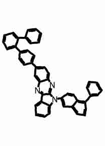 c1ccc(-c2ccccc2-c2ccc(-c3ccc4nc5c(nc4c3)c3ccccc3n5-c3ccc4c(-c5ccccc5)cccc4c3)cc2)cc1